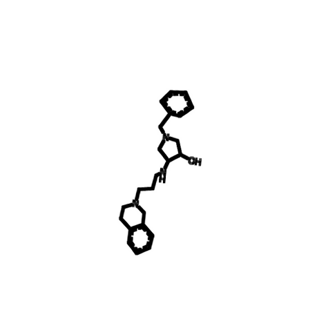 OC1CN(Cc2ccccc2)CC1NCCCN1CCc2ccccc2C1